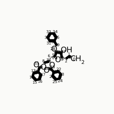 C=CC[C@@H]1O[C@H](C[C@@H](COC(=O)c2ccccc2)OC(=O)c2ccccc2)[C@H](OCc2ccccc2)[C@H]1O